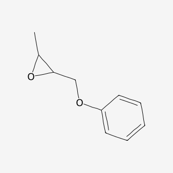 CC1OC1COc1ccccc1